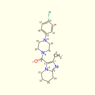 [CH2]c1nc2n(c1C(=O)N1CCN(c3ccc(F)cc3)CC1)CCCC2